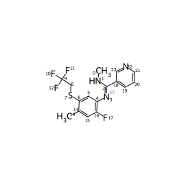 CN/C(=N\c1cc(SCC(F)(F)F)c(C)cc1F)c1cccnc1